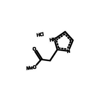 COC(=O)Cc1ncc[nH]1.Cl